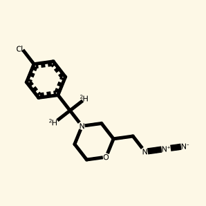 [2H]C([2H])(c1ccc(Cl)cc1)N1CCOC(CN=[N+]=[N-])C1